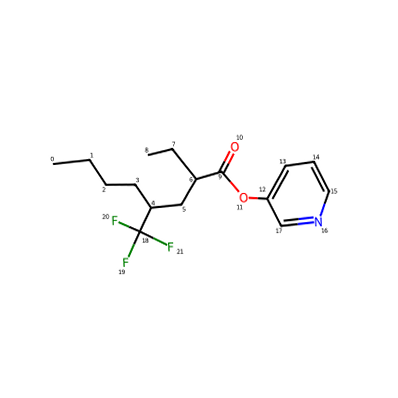 CCCCC(CC(CC)C(=O)Oc1cccnc1)C(F)(F)F